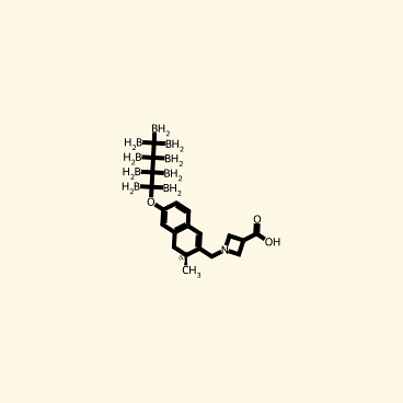 BC(B)(B)C(B)(B)C(B)(B)C(B)(B)Oc1ccc2c(c1)C[C@H](C)C(CN1CC(C(=O)O)C1)=C2